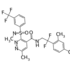 CN=S(=O)(c1cccc(C(F)(F)F)c1)c1nnc(C)cc1C(=O)NCC(F)(F)c1ccc(Cl)cc1C